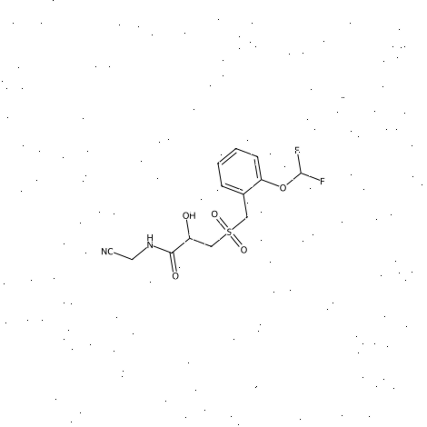 N#CCNC(=O)C(O)CS(=O)(=O)Cc1ccccc1OC(F)F